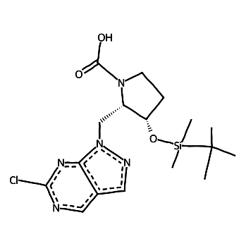 CC(C)(C)[Si](C)(C)O[C@H]1CCN(C(=O)O)[C@H]1Cn1ncc2cnc(Cl)nc21